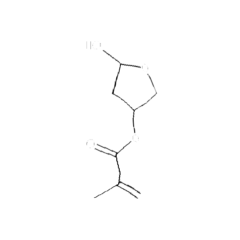 C=C(C)C(=O)OC1COC(O)C1